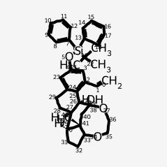 C=Cc1cc(O[Si](c2ccccc2)(c2ccccc2)C(C)(C)C)cc2c1[C@@H]1[C@@H](CC2)[C@@H]2CCC3OCCO[C@]1(O)C[C@]32C